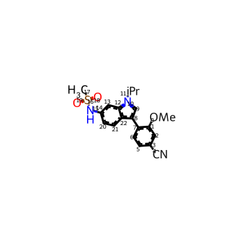 COc1cc(C#N)ccc1-c1cn(C(C)C)c2cc(NS(C)(=O)=O)ccc12